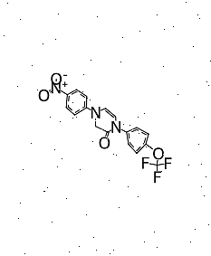 O=C1CN(c2ccc([N+](=O)[O-])cc2)C=CN1c1ccc(OC(F)(F)F)cc1